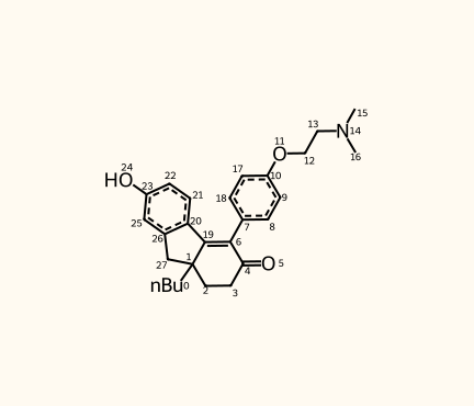 CCCCC12CCC(=O)C(c3ccc(OCCN(C)C)cc3)=C1c1ccc(O)cc1C2